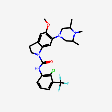 COc1cc2c(cc1N1CC(C)N(C)C(C)C1)N(C(=O)Nc1cccc(C(F)(F)F)c1Cl)CC2